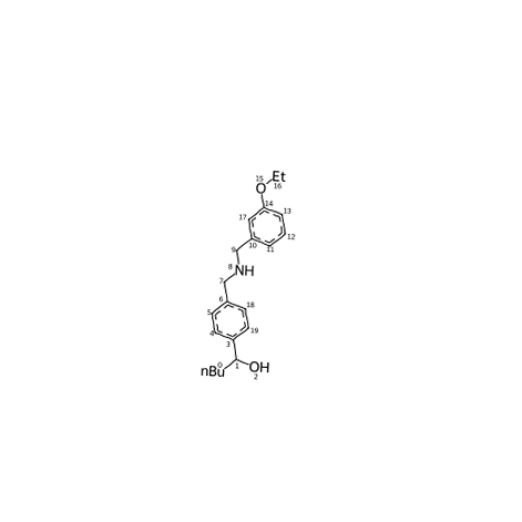 CCCCC(O)c1ccc(CNCc2cccc(OCC)c2)cc1